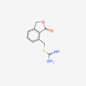 N=C(N)SCc1cccc2c1C(=O)OC2